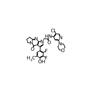 Cc1cc(-c2cn(CC(=O)Nc3cc(N4CCOCC4)ncc3Cl)c3nc4n(c(=O)c23)CCC4)c(F)c(F)c1O